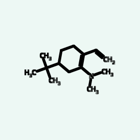 C=CC1=C(N(C)C)CC(C(C)(C)C)CC1